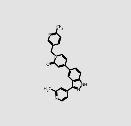 Cc1cc(-c2n[nH]c3ccc(-c4ccn(Cc5ccc(C(F)(F)F)nc5)c(=O)c4)cc23)ccn1